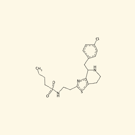 CCCCS(=O)(=O)NCCc1nc2c(s1)CCNC2Cc1ccc(Cl)cc1